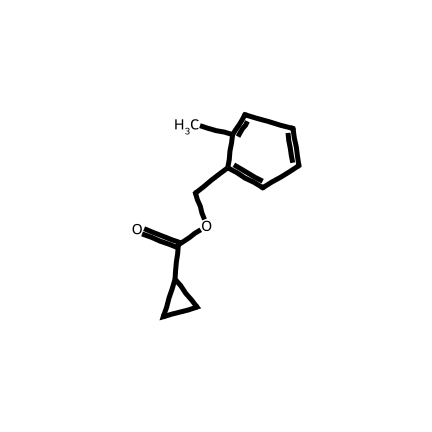 Cc1ccccc1COC(=O)C1CC1